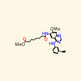 C#Cc1cccc(Nc2ncnc3cc(OC)c(NC(=O)CCCCCCC(=O)OC)cc23)c1